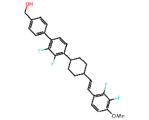 COc1ccc(/C=C/C2CCC(c3ccc(-c4ccc(CO)cc4)c(F)c3F)CC2)c(F)c1F